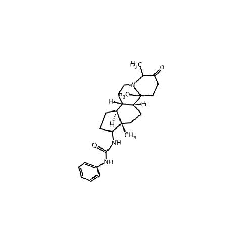 CC1C(=O)CC[C@]2(C)[C@@H]3CC[C@]4(C)C(NC(=O)Nc5ccccc5)CC[C@H]4[C@@H]3CCN12